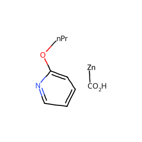 CCCOc1ccccn1.O=[C](O)[Zn]